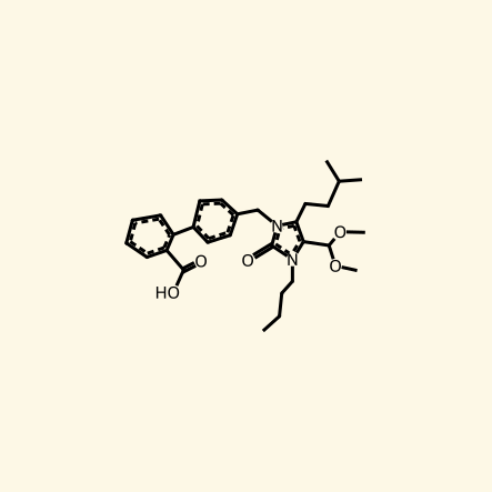 CCCCn1c(C(OC)OC)c(CCC(C)C)n(Cc2ccc(-c3ccccc3C(=O)O)cc2)c1=O